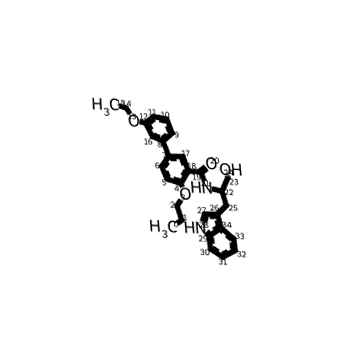 CCCOc1ccc(-c2cccc(OCC)c2)cc1C(=O)NC(CO)Cc1c[nH]c2ccccc12